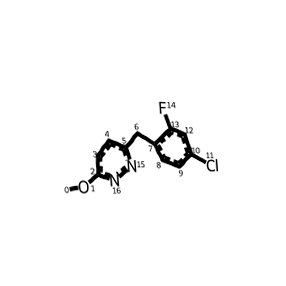 COc1ccc(Cc2ccc(Cl)cc2F)nn1